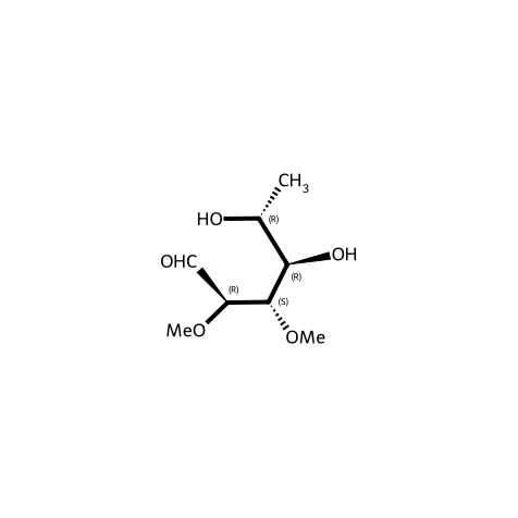 CO[C@@H]([C@H](O)[C@@H](C)O)[C@H](C=O)OC